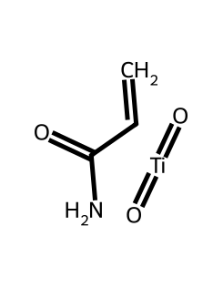 C=CC(N)=O.[O]=[Ti]=[O]